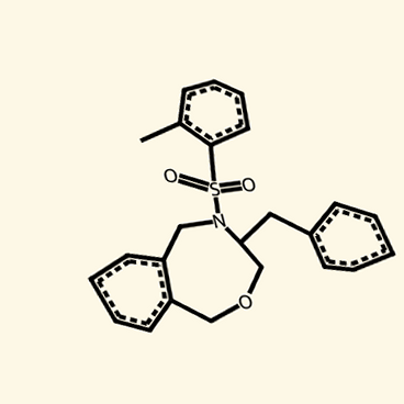 Cc1ccccc1S(=O)(=O)N1Cc2ccccc2COCC1Cc1ccccc1